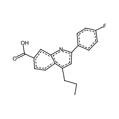 CCCc1cc(-c2ccc(F)cc2)nc2cc(C(=O)O)ccc12